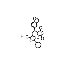 Cc1oc(C2CCCCC2)nc1CC(c1ccc2occc2c1)C1NC(=O)SC1=O